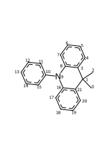 CC1(C)c2[c]cccc2N(c2ccccc2)c2ccccc21